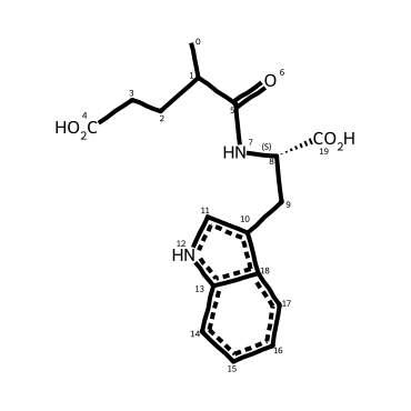 CC(CCC(=O)O)C(=O)N[C@@H](Cc1c[nH]c2ccccc12)C(=O)O